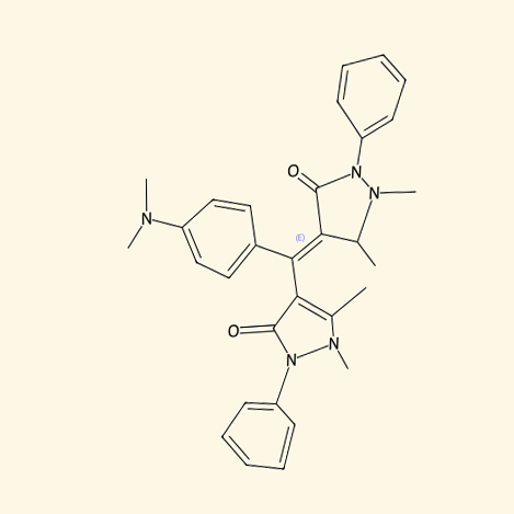 Cc1c(/C(=C2/C(=O)N(c3ccccc3)N(C)C2C)c2ccc(N(C)C)cc2)c(=O)n(-c2ccccc2)n1C